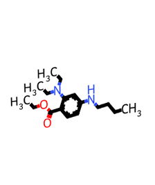 CCCCNc1ccc(C(=O)OCC)c(N(CC)CC)c1